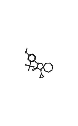 COc1ccc(N2CC3(CCCCCC3)N(C3CC3)C2=O)c(C(F)(F)F)c1